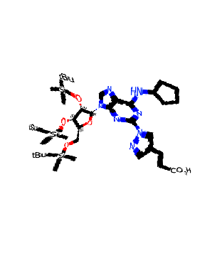 CC(C)(C)[Si](C)(C)OC[C@@H]1O[C@@H](n2cnc3c(NC4CCCC4)nc(-n4cc(C=CC(=O)O)cn4)nc32)[C@@H](O[Si](C)(C)C(C)(C)C)[C@H]1O[Si](C)(C)C(C)(C)C